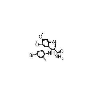 COc1cc2ncc(C(N)=O)c(Nc3ccc(Br)cc3C)c2cc1OC